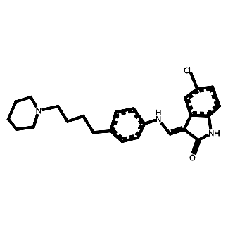 O=C1Nc2ccc(Cl)cc2/C1=C\Nc1ccc(CCCCN2CCCCC2)cc1